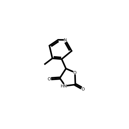 Cc1ccncc1C1OC(=O)NC1=O